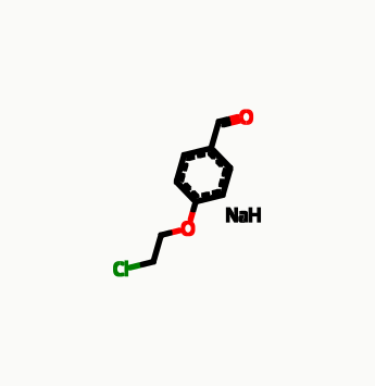 O=Cc1ccc(OCCCl)cc1.[NaH]